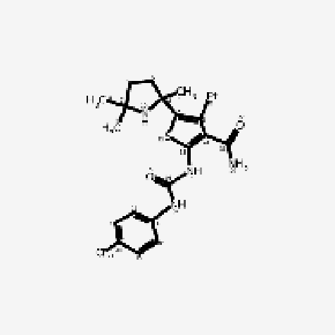 CCc1c(C2(C)CCC(C)(C)N2)sc(NC(=O)Nc2ccc(Cl)cc2)c1C(N)=O